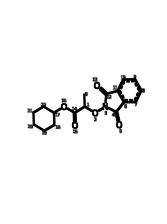 CC(ON1C(=O)c2ccccc2C1=O)C(=O)OC1CCCCC1